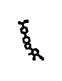 Cc1c(N2CCC3(CCN(c4ccc(C(=O)O)cc4)CC3)C2)ccc(C#N)c1Cl